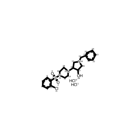 Cl.Cl.O=S(=O)(c1ccccc1Cl)N1CCN(C2CN(Cc3ccccc3)CC2O)CC1